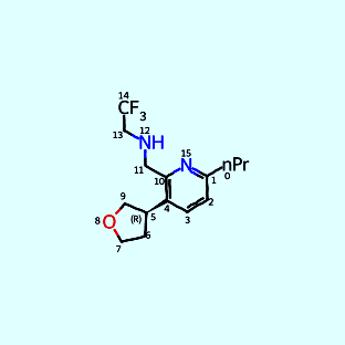 CCCc1ccc([C@H]2CCOC2)c(CNCC(F)(F)F)n1